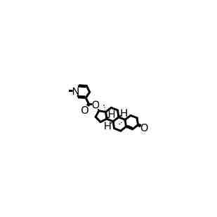 CN1C=CCC(C(=O)O[C@H]2CC[C@H]3[C@@H]4CCC5=CC(=O)CC[C@]5(C)[C@H]4CC[C@]23C)=C1